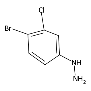 NNc1ccc(Br)c(Cl)c1